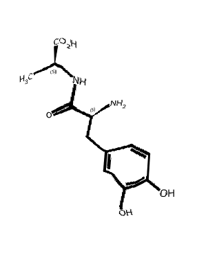 C[C@H](NC(=O)[C@@H](N)Cc1ccc(O)c(O)c1)C(=O)O